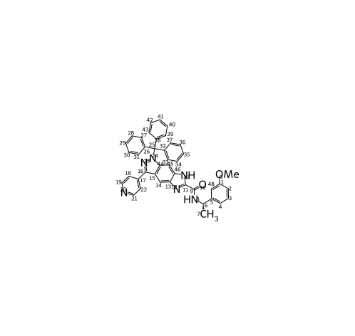 COc1cccc([C@@H](C)NC(=O)c2nc3cc4c(-c5ccncc5)nn(C(c5ccccc5)(c5ccccc5)c5ccccc5)c4cc3[nH]2)c1